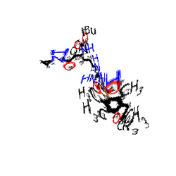 CC(=O)OC(C(=O)NC1CC1)[C@H](CCCNC(=N)NS(=O)(=O)c1c(C)c(C)c2c(c1C)CC(C)(C)O2)NC(=O)OC(C)(C)C